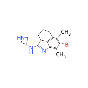 Cc1c(Br)c(C)c2c3c1CCCC3C(NC1CNC1)=N2